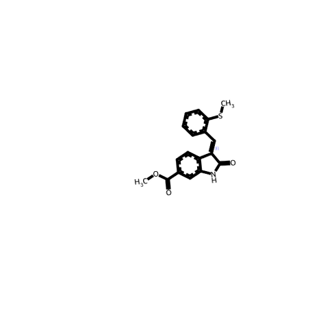 COC(=O)c1ccc2c(c1)NC(=O)/C2=C/c1ccccc1SC